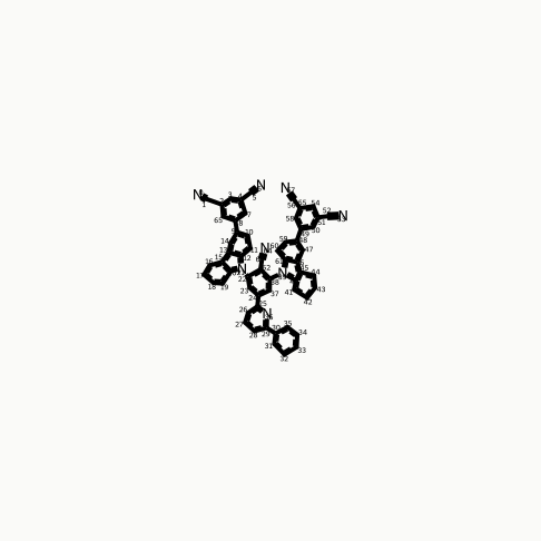 N#Cc1cc(C#N)cc(-c2ccc3c(c2)c2ccccc2n3-c2cc(-c3cccc(-c4ccccc4)n3)cc(-n3c4ccccc4c4cc(-c5cc(C#N)cc(C#N)c5)ccc43)c2C#N)c1